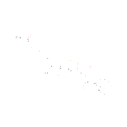 CC(C)(C)C(=O)OCCOC(=O)C(F)(F)C(F)(F)C(F)(F)C(=O)C(=O)C1CC2CCC1C2